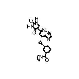 O=C(c1cccc([C@H]2C[C@@H]2c2cc(-c3c[nH]c(=O)[nH]c3=O)nn3ccnc23)c1)N1CCC1